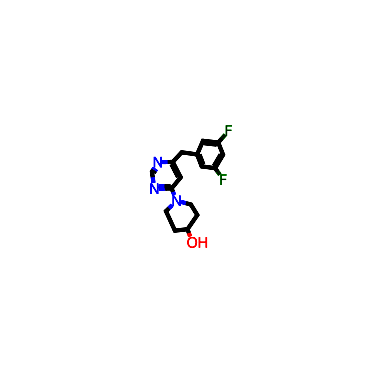 OC1CCN(c2cc(Cc3cc(F)cc(F)c3)ncn2)CC1